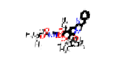 CCC1(OC(=O)CNC(=O)OC(C)(C)C)C(=O)OC([Si](C)(C)C(C)C)c2c1cc1n(c2=O)Cc2cc3ccccc3nc2-1